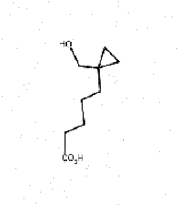 O=C(O)CCCCC1(CO)CC1